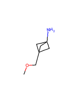 COCC12CC(N)(C1)C2